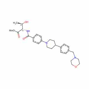 COC(=O)[C@@H](NC(=O)c1ccc(N2CCC(c3ccc(CN4CCOCC4)cc3)CC2)cc1)[C@@H](C)O